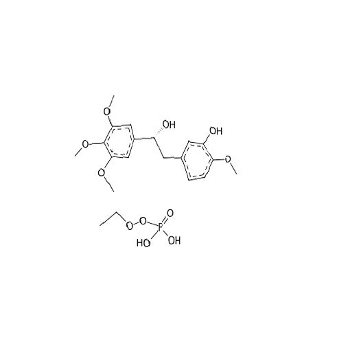 CCOOP(=O)(O)O.COc1ccc(C[C@@H](O)c2cc(OC)c(OC)c(OC)c2)cc1O